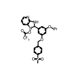 CC(C)Oc1cc(OCc2ccc(S(C)(=O)=O)cc2)cc(C2Nc3ncccc3N2OC(=O)C(F)(F)F)c1